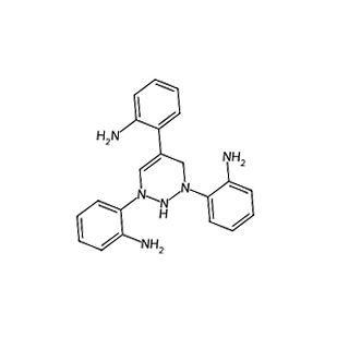 Nc1ccccc1C1=CN(c2ccccc2N)NN(c2ccccc2N)C1